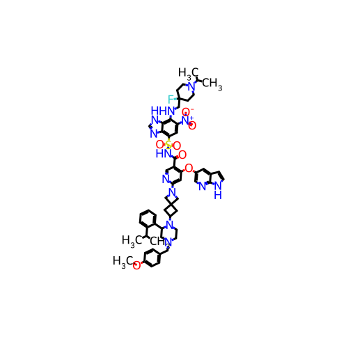 COc1ccc(CN2CCN(C3CC4(C3)CN(c3cc(Oc5cnc6[nH]ccc6c5)c(C(=O)NS(=O)(=O)c5cc([N+](=O)[O-])c(NCC6(F)CCN(C(C)C)CC6)c6[nH]cnc56)cn3)C4)C(c3ccccc3C(C)C)C2)cc1